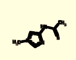 CC(=S)Nc1cn(C)cn1